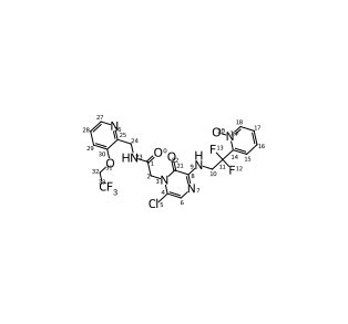 O=C(Cn1c(Cl)cnc(NCC(F)(F)c2cccc[n+]2[O-])c1=O)NCc1ncccc1OCC(F)(F)F